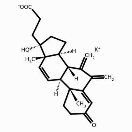 C=C1C(=C)[C@@H]2[C@H](C=C[C@@]3(C)[C@H]2CC[C@]3(O)CCC(=O)[O-])[C@@]2(C)CCC(=O)C=C12.[K+]